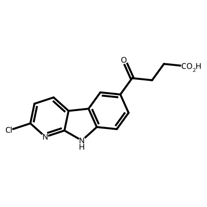 O=C(O)CCC(=O)c1ccc2[nH]c3nc(Cl)ccc3c2c1